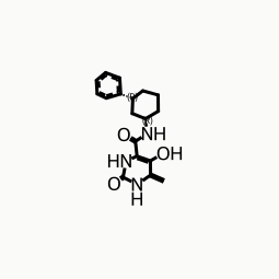 C=C1NC(=O)NC(C(=O)N[C@@H]2CCC[C@@H](c3ccccc3)C2)=C1O